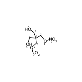 O=[N+]([O-])OCC(CO)(CO)CO[N+](=O)[O-]